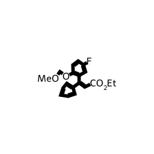 CCOC(=O)C=C(c1ccccc1)c1cc(F)ccc1OCOC